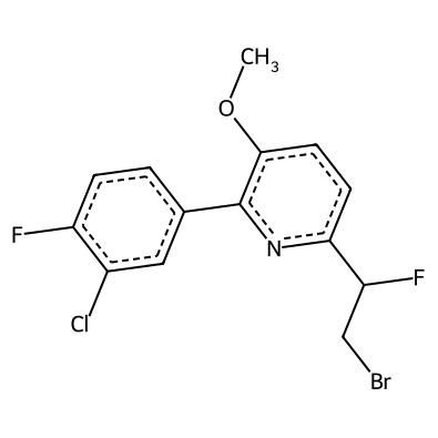 COc1ccc(C(F)CBr)nc1-c1ccc(F)c(Cl)c1